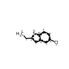 CCc1cc2cc(Cl)ccc2s1